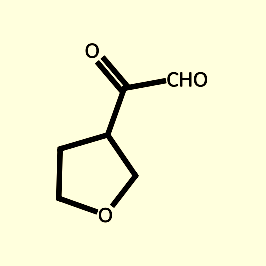 O=CC(=O)C1CCOC1